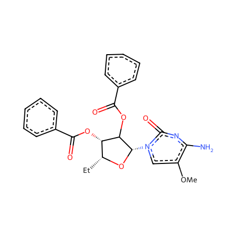 CC[C@H]1O[C@@H](n2cc(OC)c(N)nc2=O)C(OC(=O)c2ccccc2)[C@H]1OC(=O)c1ccccc1